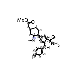 C/N=C1\CC(CC(=O)OC)CC[C@@H]1n1cc(C(N)=O)c(Nc2ccc(F)cc2)n1